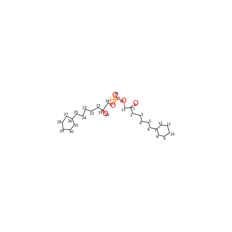 O=C(CCCCCC1CCCCC1)CO[PH](=O)OCC(=O)CCCCCC1CCCCC1